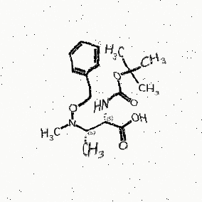 C[C@@H]([C@H](NC(=O)OC(C)(C)C)C(=O)O)N(C)OCc1ccccc1